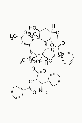 CC(=O)O[C@H]1C(=O)[C@@]2(C)[C@H]([C@H](OC(=O)c3ccccc3)[C@]3(O)CC(OC(=O)C(OC(=O)c4ccccc4)[C@@H](N)c4ccccc4)C(C)=C1C3(C)C)[C@]1(OC(C)=O)CO[C@@H]1C[C@@H]2O